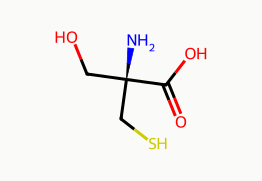 N[C@](CO)(CS)C(=O)O